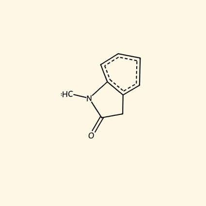 [CH]N1C(=O)Cc2ccccc21